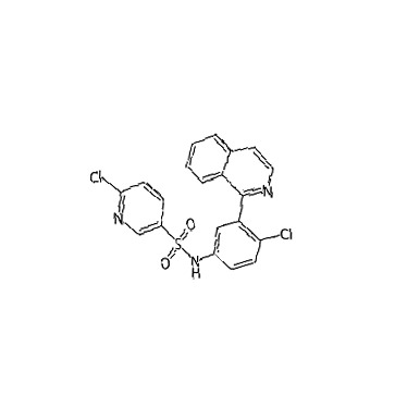 O=S(=O)(Nc1ccc(Cl)c(-c2nccc3ccccc23)c1)c1ccc(Cl)nc1